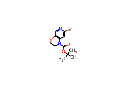 CC(C)(C)OC(=O)N1CCOc2cnc(Br)cc21